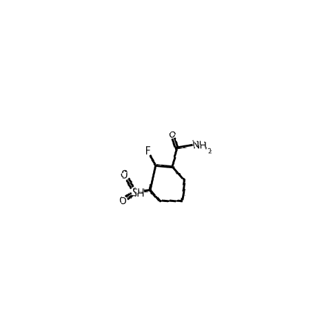 NC(=O)C1CCCC([SH](=O)=O)C1F